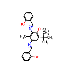 COc1c(C(C)(C)C)cc(/N=C/c2ccccc2O)c(C)c1/N=C/c1ccccc1O